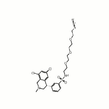 CN1Cc2c(Cl)cc(Cl)cc2[C@H](c2cccc(S(=O)(=O)NCCOCCOCCOCCN=[N+]=[N-])c2)C1